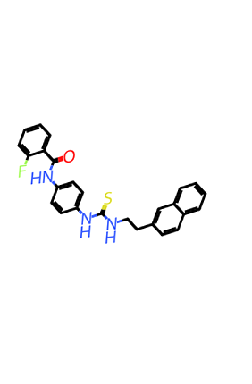 O=C(Nc1ccc(NC(=S)NCCc2ccc3ccccc3c2)cc1)c1ccccc1F